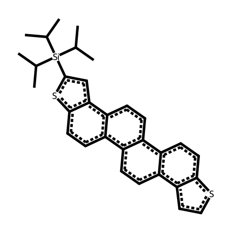 CC(C)[Si](c1cc2c(ccc3c2ccc2c4ccc5sccc5c4ccc32)s1)(C(C)C)C(C)C